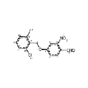 O=Cc1ccc(OCc2c(F)cccc2Cl)cc1[N+](=O)[O-]